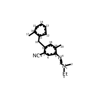 CCN(C)C=Nc1cc(C#N)c(Cc2ccccc2C)cc1C